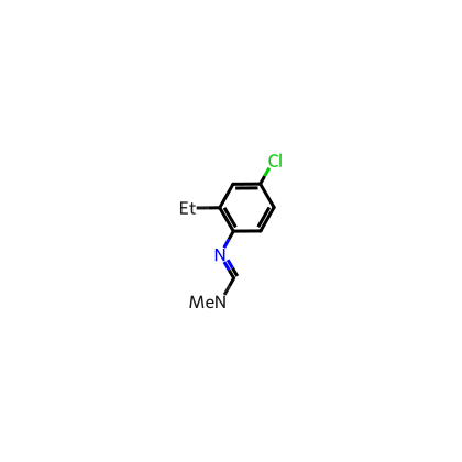 CCc1cc(Cl)ccc1/N=C/NC